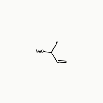 C=CC(F)OC